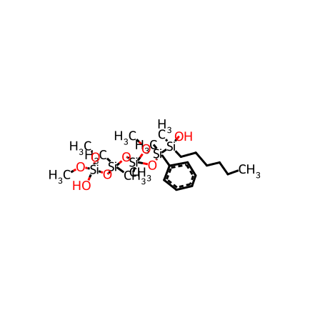 CCCCCC[Si](C)(O)[Si](C)(O[Si](C)(OC)O[Si](C)(C)O[Si](O)(OC)OC)c1ccccc1